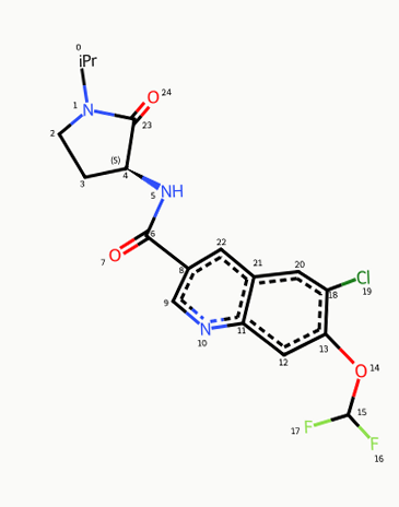 CC(C)N1CC[C@H](NC(=O)c2cnc3cc(OC(F)F)c(Cl)cc3c2)C1=O